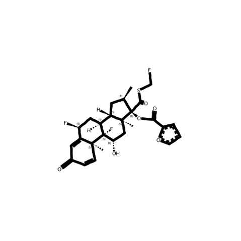 C[C@@H]1C[C@H]2[C@@H]3C[C@H](F)C4=CC(=O)C=C[C@]4(C)[C@]3(F)[C@@H](O)C[C@]2(C)[C@@]1(OC(=O)c1ccco1)C(=O)SCF